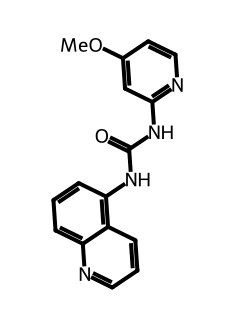 COc1ccnc(NC(=O)Nc2cccc3ncccc23)c1